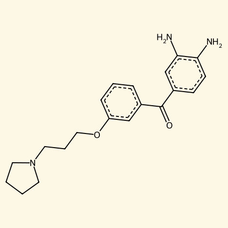 Nc1ccc(C(=O)c2cccc(OCCCN3CCCC3)c2)cc1N